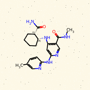 CNC(=O)c1cnc(Nc2ccc(C)cn2)cc1N[C@@H]1CCCC[C@@H]1C(N)=O